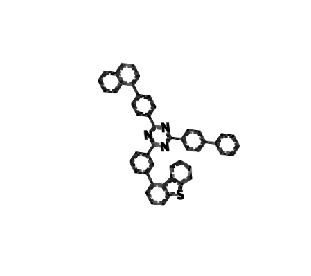 c1ccc(-c2ccc(-c3nc(-c4ccc(-c5cccc6ccccc56)cc4)nc(-c4cccc(-c5cccc6sc7ccccc7c56)c4)n3)cc2)cc1